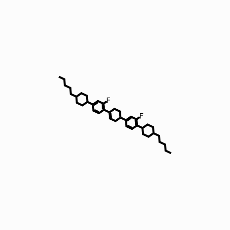 CCCCCC1CCC(c2ccc(C3=CCC(c4ccc(C5CCC(CCCCC)CC5)c(F)c4)CC3)c(F)c2)CC1